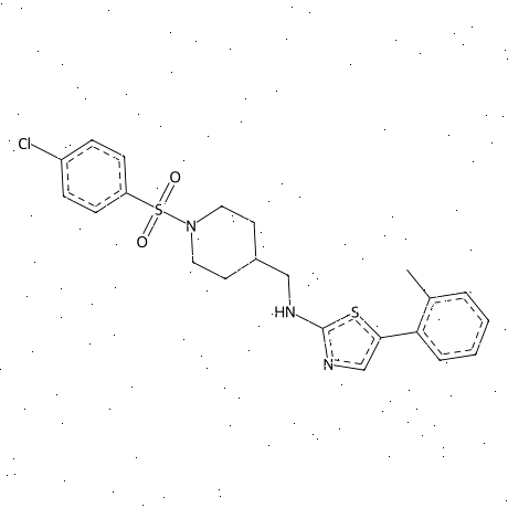 Cc1[c]cccc1-c1cnc(NCC2CCN(S(=O)(=O)c3ccc(Cl)cc3)CC2)s1